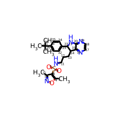 Cc1noc(C)c1S(=O)(=O)NCCCC1c2nccnc2NC1c1ccc(C(C)(C)C)cc1